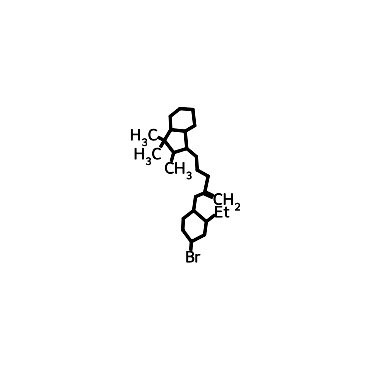 C=C(CCCC1C2CCCCC2C(C)(C)C1C)CC1CCC(Br)CC1CC